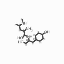 CNC(C)CC(N)C(O)NC(CO)CC1CCC(O)CC1